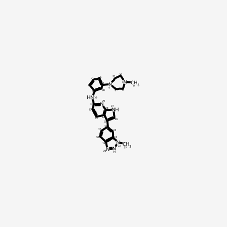 CN1CCN(c2cccc(Nc3ccc4c(-c5ccc6nnn(C)c6c5)c[nH]c4n3)c2)CC1